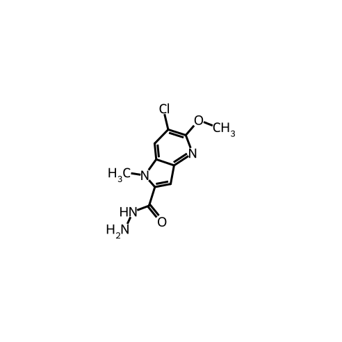 COc1nc2cc(C(=O)NN)n(C)c2cc1Cl